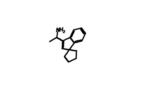 CC(N)C1=CC2(CCCC2)c2ccccc21